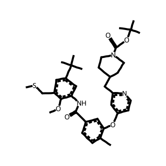 COc1c(CSC)cc(C(C)(C)C)cc1NC(=O)c1ccc(C)c(Oc2ccnc(CC3CCN(C(=O)OC(C)(C)C)CC3)c2)c1